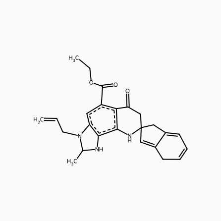 C=CCN1c2cc(C(=O)OCC)c3c(c2NC1C)NC1(C=C2CC=CC=C2C1)CC3=O